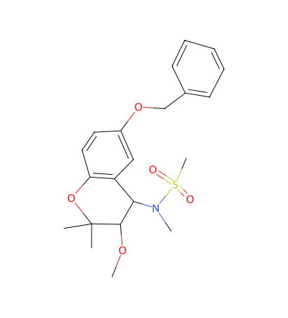 COC1C(N(C)S(C)(=O)=O)c2cc(OCc3ccccc3)ccc2OC1(C)C